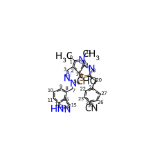 Cc1c(/C=N\N(C=O)Cc2cccc3[nH]ncc23)c2sc(Cc3ccc(C#N)cc3)nc2n1C